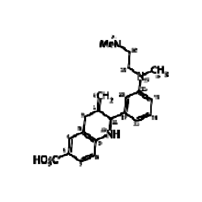 C=C1Cc2cc(C(=O)O)ccc2NC1c1cccc(N(C)CCNC)c1